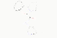 Cc1cncc(NC(=O)C(=O)N2C[C@@H](C)CC[C@H]2c2ccccc2)c1